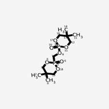 CC1(C)COP(=O)(COP2(=O)OCC(C)(C)CO2)OC1